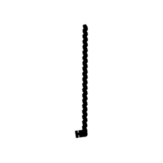 CCCCCCCCCCCCCCCCCCCCCCCCCCCCCCCCCCCCCCCCO